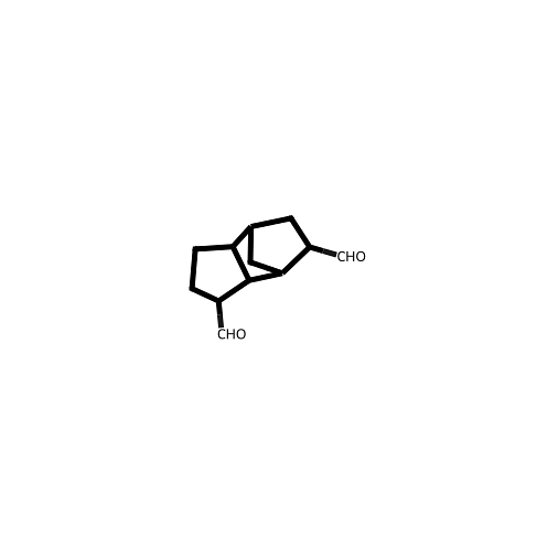 O=CC1CC2CC1C1C(C=O)CCC21